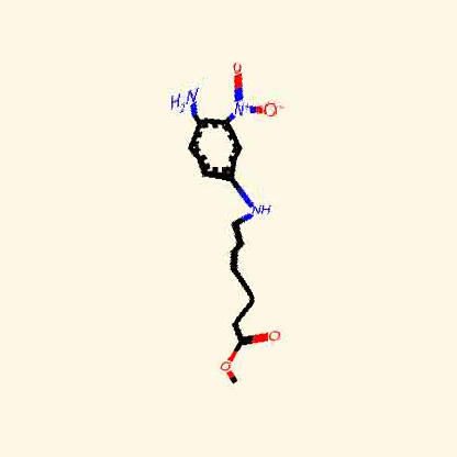 COC(=O)CCCCCNc1ccc(N)c([N+](=O)[O-])c1